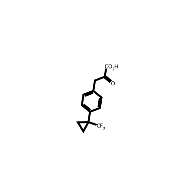 O=C(O)C(=O)Cc1ccc(C2(C(F)(F)F)CC2)cc1